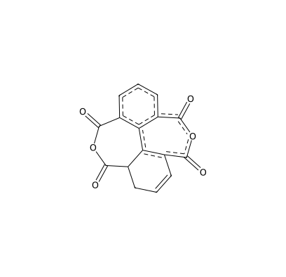 O=C1OC(=O)C2CC=Cc3c2c2c1cccc2c(=O)oc3=O